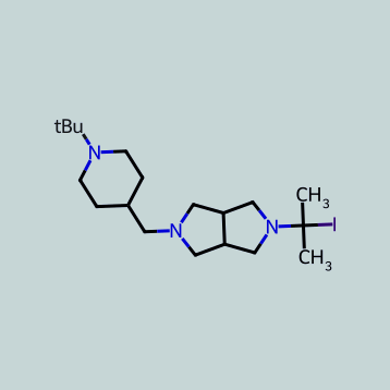 CC(C)(C)N1CCC(CN2CC3CN(C(C)(C)I)CC3C2)CC1